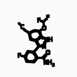 CCCc1cc(OC(F)F)c2[nH]nc(-c3cc(F)ccc3C(N)=O)c2c1